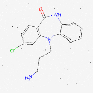 NCCCN1c2ccccc2NC(=O)c2ccc(Cl)cc21